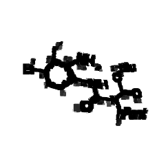 CCCCCN(C(=O)Nc1ccc(CC)c(C)c1N)C(=O)OC(C)(C)C